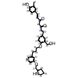 Cc1cc(/C=C/C(=O)CC(=O)/C=C/c2ccc(OCCCc3cncc(OCC4CCCN4)c3)c(CO)c2)ccc1O